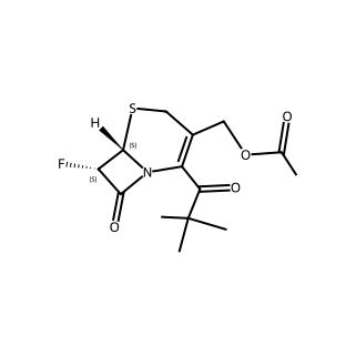 CC(=O)OCC1=C(C(=O)C(C)(C)C)N2C(=O)[C@H](F)[C@@H]2SC1